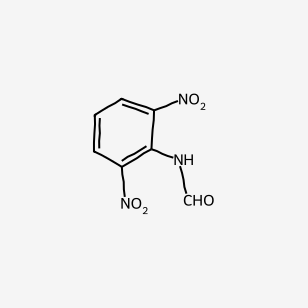 O=CNc1c([N+](=O)[O-])cccc1[N+](=O)[O-]